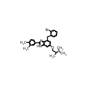 Cc1ccc(-c2nc3c(Cc4ccccc4Br)cc(OCC(C)N(C)C)cc3[nH]2)cc1C